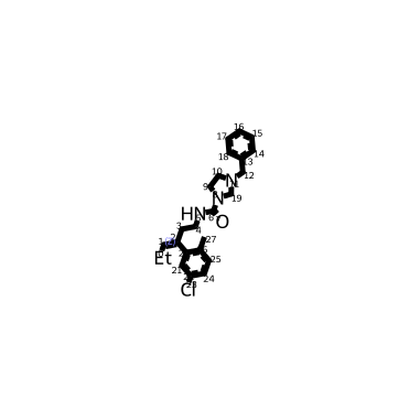 CC/C=C(/CCNC(=O)N1CCN(Cc2ccccc2)C1)c1cc(Cl)ccc1C